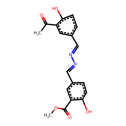 COC(=O)c1cc(/C=N/N=C/c2ccc(O)c(C(C)=O)c2)ccc1O